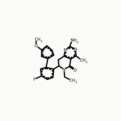 CCN1C(=O)c2c(C)nc(N)nc2CC1c1ccc(F)cc1-c1cccc(OC)c1